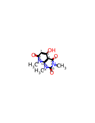 Cn1c(=O)c2c(O)cc(=O)n(C)c2n(C)c1=O